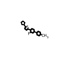 Cc1ccc(-c2ccc(-c3ccc(C4CCCC4)s3)c(F)c2)cc1